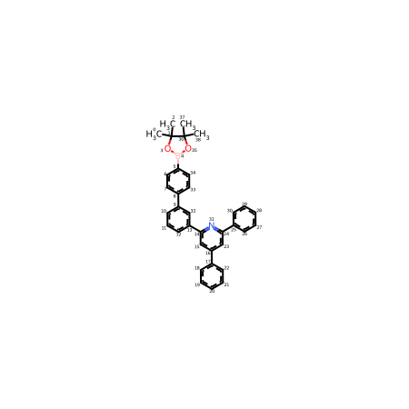 CC1(C)OB(c2ccc(-c3cccc(-c4cc(-c5ccccc5)cc(-c5ccccc5)n4)c3)cc2)OC1(C)C